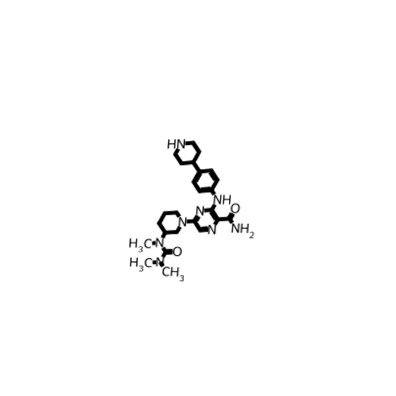 CN(C)C(=O)N(C)C1CCCN(c2cnc(C(N)=O)c(Nc3ccc(C4CCNCC4)cc3)n2)C1